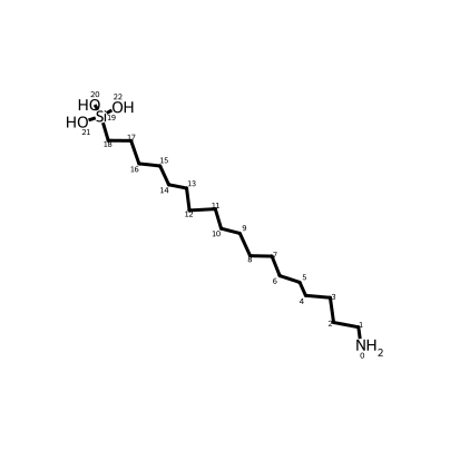 NCCCCCCCCCCCCCCCCCC[Si](O)(O)O